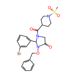 CS(=O)(=O)N1CCC(C(=O)N2CC(=O)N(OCc3ccccc3)C2c2cccc(Br)c2)CC1